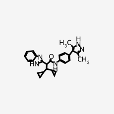 Cc1n[nH]c(C)c1-c1ccc(NC(=O)C(c2nc3ccccc3[nH]2)C(C2CC2)C2CC2)cc1